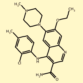 CCOc1cc2ncc(C(N)=O)c(Nc3ccc(C)cc3Cl)c2cc1N1CCN(C)CC1